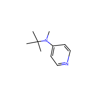 CN(c1ccncc1)C(C)(C)C